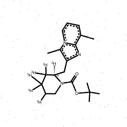 [2H]C1CN(C(=O)OC(C)(C)C)[C@]([2H])(Cc2nc3c(C)cccn3c2C)C([2H])([2H])C1([2H])[2H]